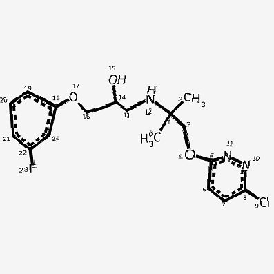 CC(C)(COc1ccc(Cl)nn1)NCC(O)COc1cccc(F)c1